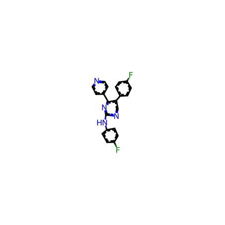 Fc1ccc(Nc2ncc(-c3ccc(F)cc3)c(-c3ccncc3)n2)cc1